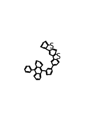 c1ccc(-c2c3ccccc3c(-c3cccc(-c4ccc5sc6cc7sc8ccccc8c7cc6c5c4)c3)c3ccccc23)cc1